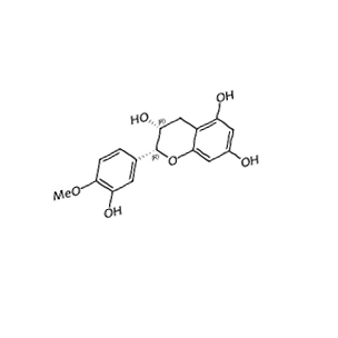 COc1ccc([C@H]2Oc3cc(O)cc(O)c3C[C@H]2O)cc1O